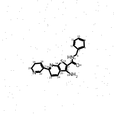 Nc1c(C(=O)NCc2ccccc2)sc2nc(C3=CCCN=C3)ccc12